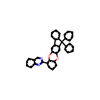 c1ccc(C2(c3ccccc3)c3ccccc3-c3cc4c(cc32)Oc2cccc(-c3ncc5ccccc5n3)c2O4)cc1